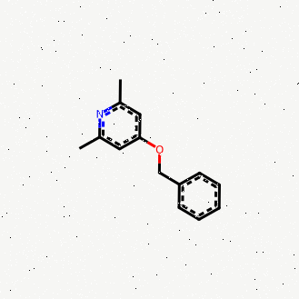 Cc1cc(OCc2ccccc2)cc(C)n1